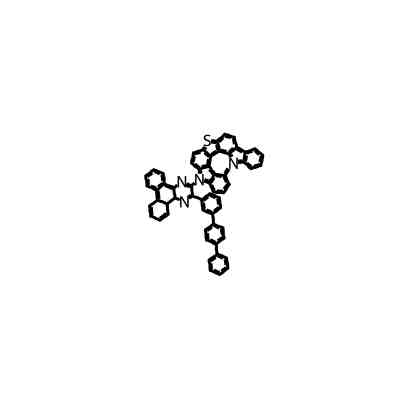 C1=CC2=c3ccccc3=C3N=C(n4c5ccc6sc7ccc8c9ccccc9n9c%10cccc4c%10c5c6c7c89)C(c4cccc(-c5ccc(-c6ccccc6)cc5)c4)=NC3C2C=C1